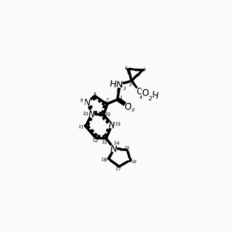 O=C(NC1(C(=O)O)CC1)c1cnn2ccc(N3CCCC3)nc12